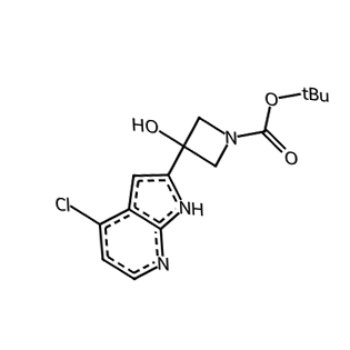 CC(C)(C)OC(=O)N1CC(O)(c2cc3c(Cl)ccnc3[nH]2)C1